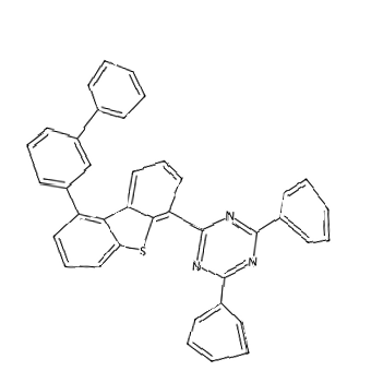 c1ccc(-c2cccc(-c3cccc4sc5c(-c6nc(-c7ccccc7)nc(-c7ccccc7)n6)cccc5c34)c2)cc1